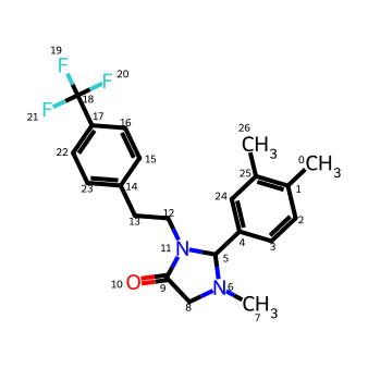 Cc1ccc(C2N(C)CC(=O)N2CCc2ccc(C(F)(F)F)cc2)cc1C